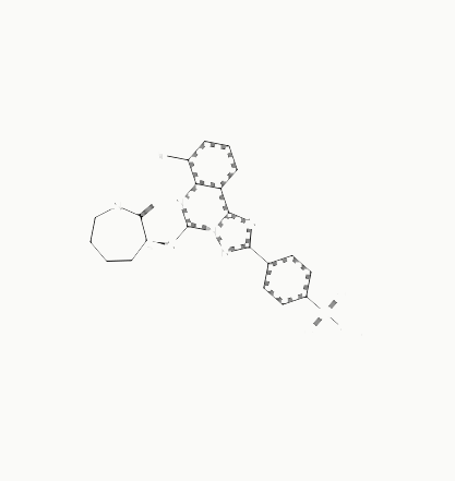 CS(=O)(=O)c1ccc(-c2nc3c4cccc(Br)c4nc(N[C@H]4CCCCNC4=O)n3n2)cc1